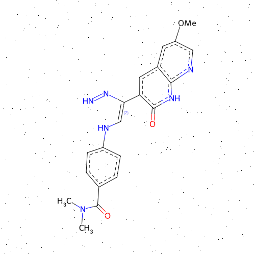 COc1cnc2[nH]c(=O)c(/C(=C/Nc3ccc(C(=O)N(C)C)cc3)N=N)cc2c1